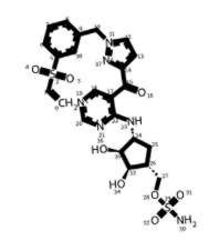 C=CS(=O)(=O)c1cccc(Cn2ccc(C(=O)c3cncnc3N[C@@H]3C[C@H](COS(N)(=O)=O)[C@@H](O)[C@H]3O)n2)c1